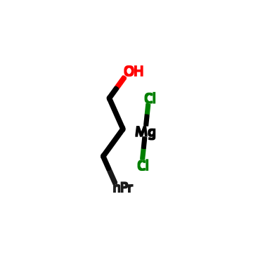 CCCCCCO.[Cl][Mg][Cl]